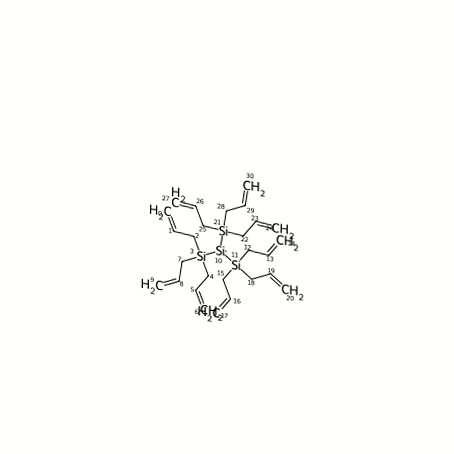 C=CC[Si](CC=C)(CC=C)[Si]([Si](CC=C)(CC=C)CC=C)[Si](CC=C)(CC=C)CC=C